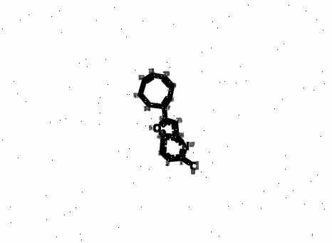 Clc1ccc2oc(/C3=C/C=C\C=C/CC3)cc2n1